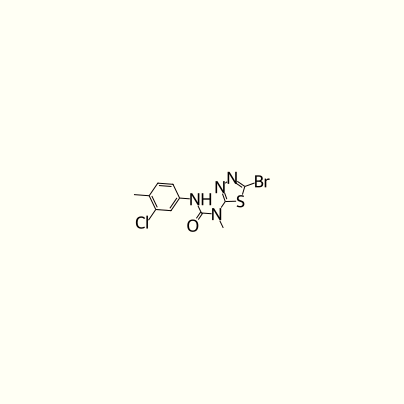 Cc1ccc(NC(=O)N(C)c2nnc(Br)s2)cc1Cl